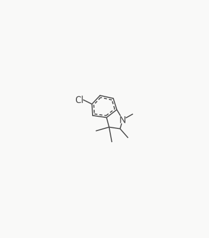 CC1N(C)c2ccc(Cl)cc2C1(C)C